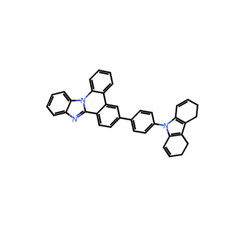 C1=Cc2c(c3c(n2-c2ccc(-c4ccc5c(c4)c4ccccc4n4c6ccccc6nc54)cc2)C=CCC3)CC1